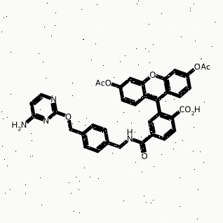 CC(=O)Oc1ccc2c(c1)OC1=CC(OC(C)=O)C=CC1=C2c1cc(C(=O)NCc2ccc(COc3nccc(N)n3)cc2)ccc1C(=O)O